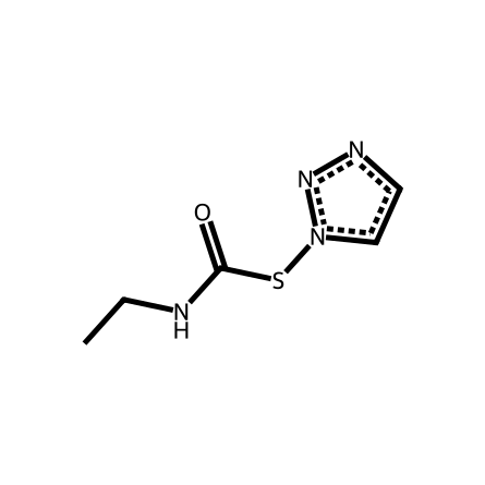 CCNC(=O)Sn1ccnn1